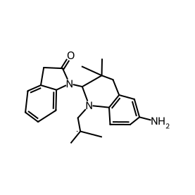 C[C](C)CN1c2ccc(N)cc2CC(C)(C)C1N1C(=O)Cc2ccccc21